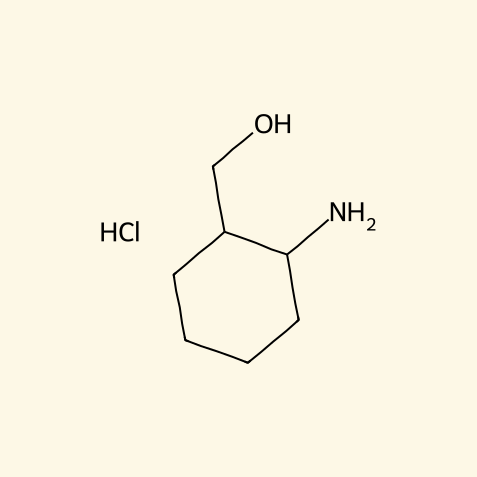 Cl.NC1CCCCC1CO